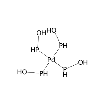 O[PH][Pd]([PH]O)([PH]O)[PH]O